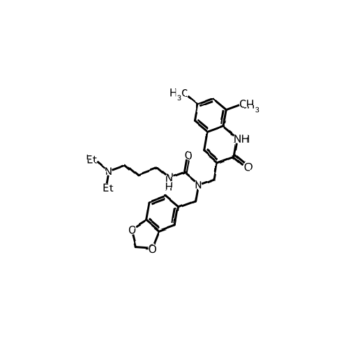 CCN(CC)CCCNC(=O)N(Cc1ccc2c(c1)OCO2)Cc1cc2cc(C)cc(C)c2[nH]c1=O